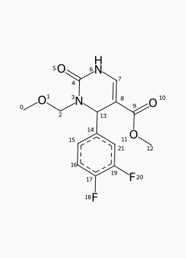 COCN1C(=O)NC=C(C(=O)OC)C1c1ccc(F)c(F)c1